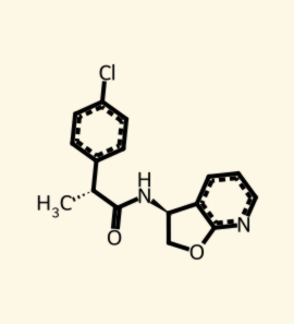 C[C@@H](C(=O)N[C@@H]1COc2ncccc21)c1ccc(Cl)cc1